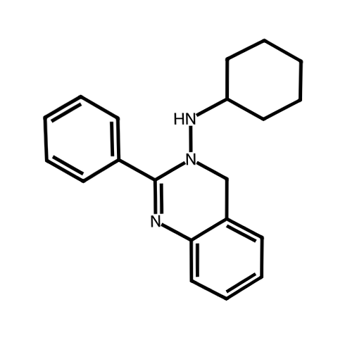 c1ccc(C2=Nc3ccccc3CN2NC2CCCCC2)cc1